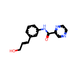 O=C(Nc1cccc(/C=C/CO)c1)c1cnccn1